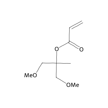 C=CC(=O)OC(C)(COC)COC